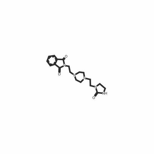 O=C1NCCN1CCN1CCN(CCN2C(=O)c3ccccc3C2=O)CC1